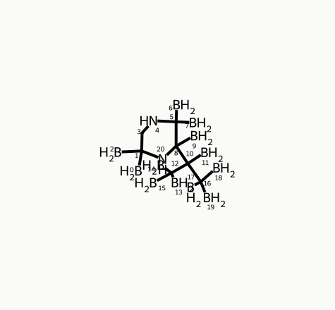 BC1(B)CNC(B)(B)C(B)(C(B)(C(B)(B)B)C(B)(B)B)N1